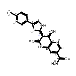 N=C1/C(=C2\NC=C(c3ccc(N)nc3)S2)C(=O)Nc2cc(C(N)=O)cnc21